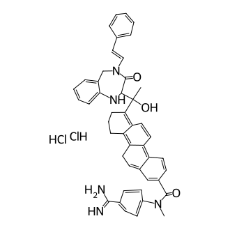 CN(C(=O)c1ccc2c(c1)=CCc1c3c(ccc1=2)=C(C(C)(O)C1Nc2ccccc2CN(C=Cc2ccccc2)C1=O)CCC3)c1ccc(C(=N)N)cc1.Cl.Cl